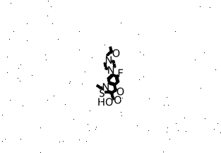 CC(=O)CN1CCN(c2cc3c(cc2F)c(=O)c(C(=O)O)c2n3C(C)S2)CC1